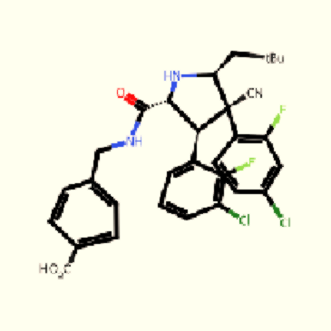 CC(C)(C)C[C@@H]1N[C@@H](C(=O)NCc2ccc(C(=O)O)cc2)[C@H](c2cccc(Cl)c2F)[C@@]1(C#N)c1ccc(Cl)cc1F